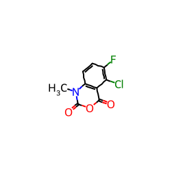 Cn1c(=O)oc(=O)c2c(Cl)c(F)ccc21